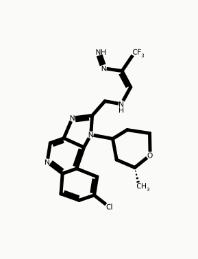 C[C@@H]1CC(n2c(CN/C=C(\N=N)C(F)(F)F)nc3cnc4ccc(Cl)cc4c32)CCO1